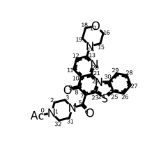 CC(=O)N1CCN(C(=O)c2c(=O)c3ccc(N4CCOCC4)nc3n3c2sc2ccccc23)CC1